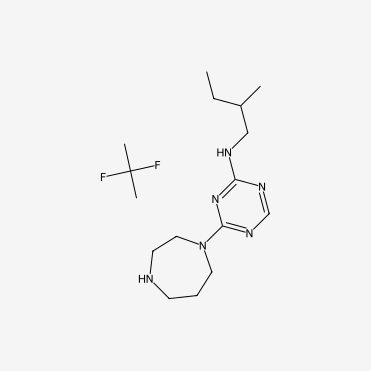 CC(C)(F)F.CCC(C)CNc1ncnc(N2CCCNCC2)n1